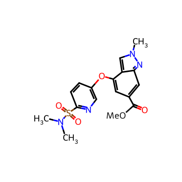 COC(=O)c1cc(Oc2ccc(S(=O)(=O)N(C)C)nc2)c2cn(C)nc2c1